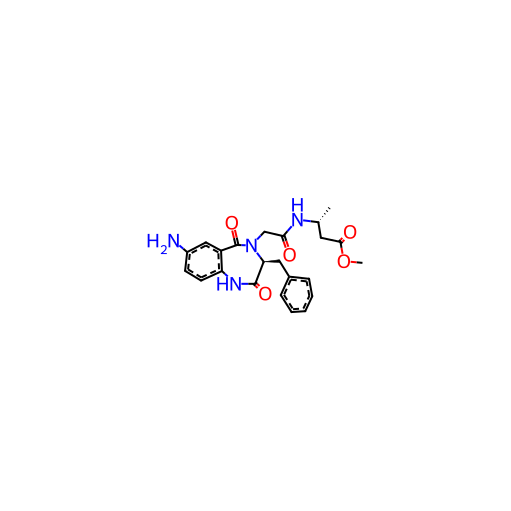 COC(=O)C[C@@H](C)NC(=O)CN1C(=O)c2cc(N)ccc2NC(=O)[C@@H]1Cc1ccccc1